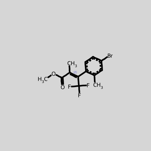 COC(=O)/C(C)=C(/c1ccc(Br)cc1C)C(F)(F)F